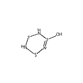 OS1=NSNSN1